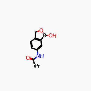 CC(C)C(=O)Nc1ccc2c(c1)B(O)OC2